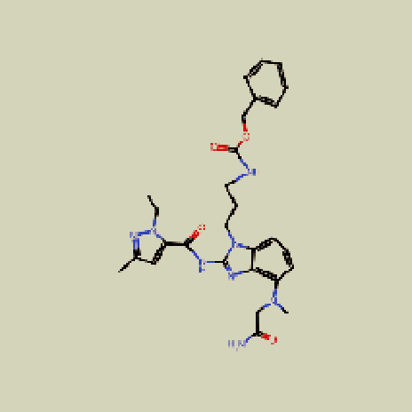 CCn1nc(C)cc1C(=O)Nc1nc2c(N(C)CC(N)=O)cccc2n1CCCNC(=O)OCc1ccccc1